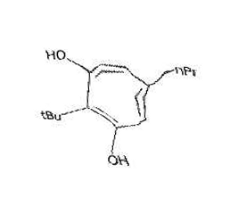 CCCc1cc(O)c(C(C)(C)C)c(O)c1